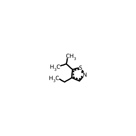 CCc1cnsc1C(C)C